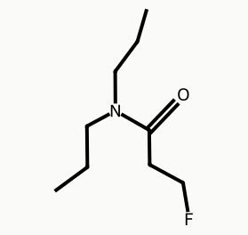 CCCN(CCC)C(=O)CCF